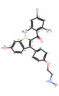 CCNCCOc1ccc(-c2c(C(=O)c3c(C)cc(Cl)cc3C)sc3cc(O)ccc23)cc1